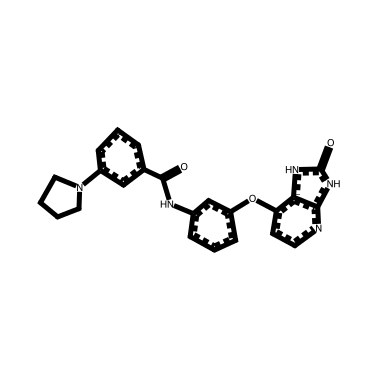 O=C(Nc1cccc(Oc2ccnc3[nH]c(=O)[nH]c23)c1)c1cccc(N2CCCC2)c1